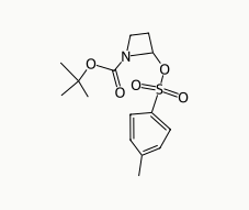 Cc1ccc(S(=O)(=O)OC2CCN2C(=O)OC(C)(C)C)cc1